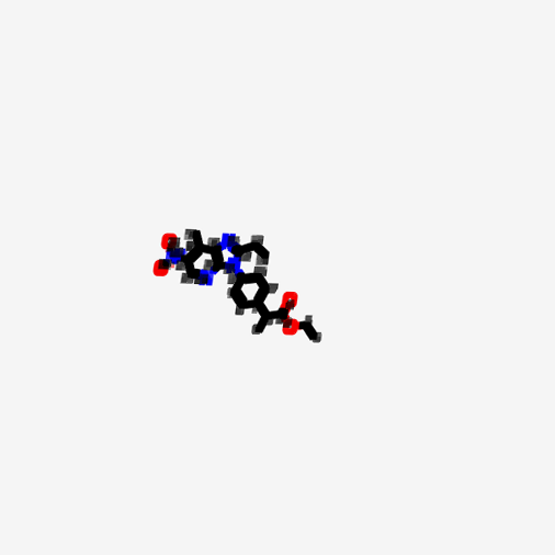 CCOC(=O)C(C)c1ccc(-n2c(CC)nc3c(C)c([N+](=O)[O-])cnc32)cc1